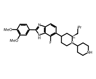 COc1ccc(-c2nc3ccc(C4CCN(C5CCNCC5)[C@H](CC(C)C)C4)c(F)c3[nH]2)cc1OC